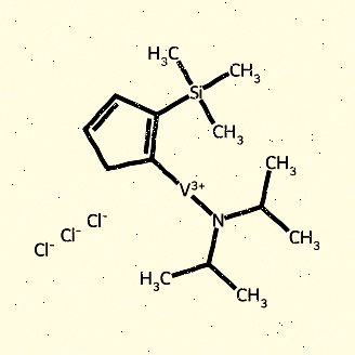 CC(C)[N]([V+3][C]1=C([Si](C)(C)C)C=CC1)C(C)C.[Cl-].[Cl-].[Cl-]